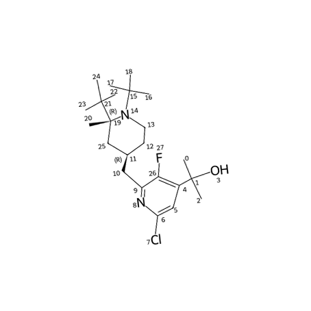 CC(C)(O)c1cc(Cl)nc(C[C@@H]2CCN(C(C)(C)C)[C@@](C)(C(C)(C)C)C2)c1F